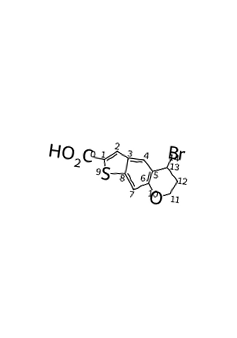 O=C(O)c1cc2cc3c(cc2s1)OCCC3Br